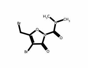 CN(C)C(=O)n1oc(CBr)c(Br)c1=O